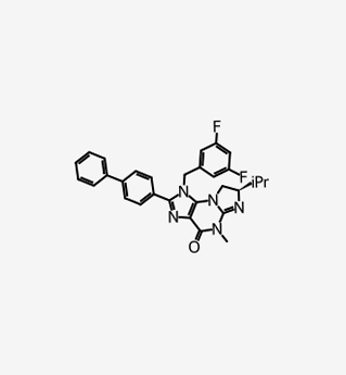 CC(C)[C@@H]1CN2C(=N1)N(C)C(=O)c1nc(-c3ccc(-c4ccccc4)cc3)n(Cc3cc(F)cc(F)c3)c12